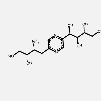 N[C@H](Cc1cnc([C@@H](O)[C@H](O)[C@H](O)CO)cn1)[C@H](O)CO